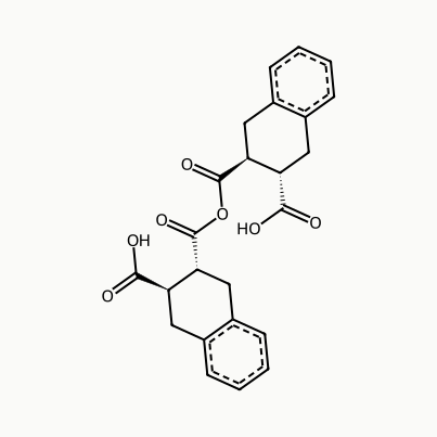 O=C(O)[C@H]1Cc2ccccc2C[C@@H]1C(=O)OC(=O)[C@@H]1Cc2ccccc2C[C@H]1C(=O)O